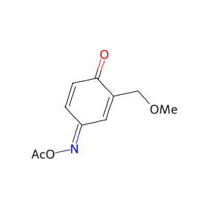 COCC1=CC(=NOC(C)=O)C=CC1=O